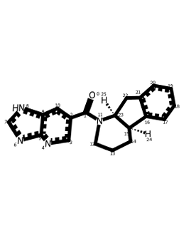 O=C(c1cnc2nc[nH]c2c1)N1CCC[C@@H]2c3ccccc3C[C@@H]21